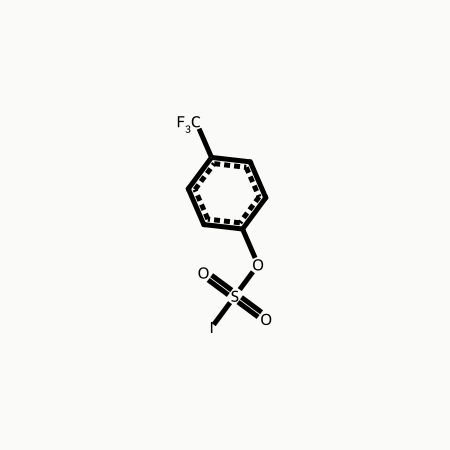 O=S(=O)(I)Oc1ccc(C(F)(F)F)cc1